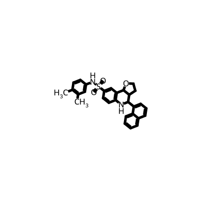 Cc1ccc(NS(=O)(=O)c2ccc3c(c2)C2OCCC2C(c2cccc4ccccc24)N3)cc1C